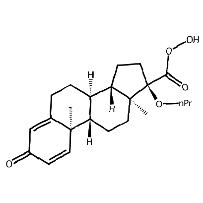 CCCO[C@]1(C(=O)OO)CC[C@H]2[C@@H]3CCC4=CC(=O)C=C[C@]4(C)[C@H]3CC[C@@]21C